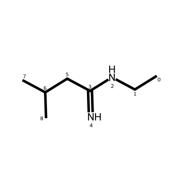 CCNC(=N)CC(C)C